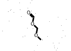 [CH2]OCOC=O